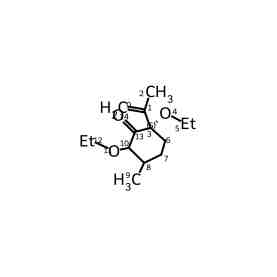 C=C(C)[C@@]1(OCC)CCC(C)C(OCC)C1=O